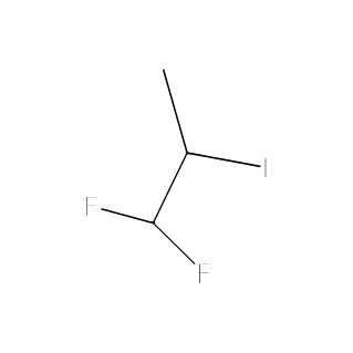 CC(I)C(F)F